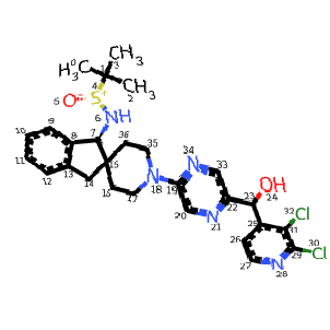 CC(C)(C)[S@@+]([O-])N[C@@H]1c2ccccc2CC12CCN(c1cnc(C(O)c3ccnc(Cl)c3Cl)cn1)CC2